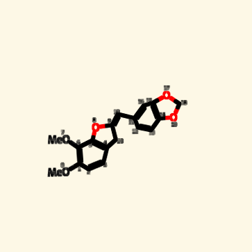 COc1ccc2c(c1OC)OC(=Cc1ccc3c(c1)OCO3)C2